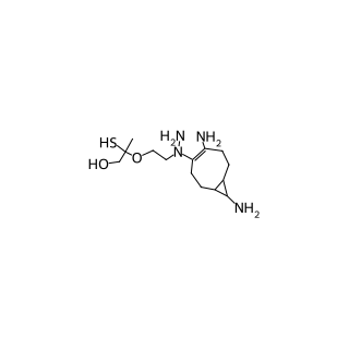 CC(S)(CO)OCCN(N)/C1=C(\N)CCC2C(N)C2CC1